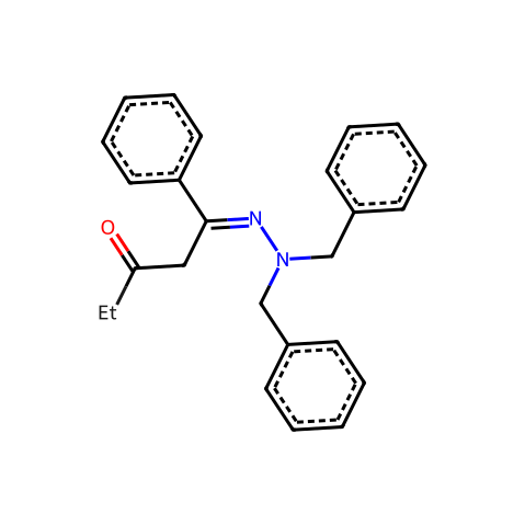 CCC(=O)CC(=NN(Cc1ccccc1)Cc1ccccc1)c1ccccc1